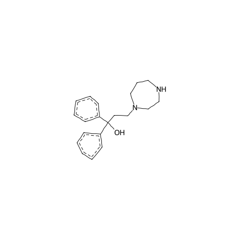 OC(CCN1CCCNCC1)(c1ccccc1)c1ccccc1